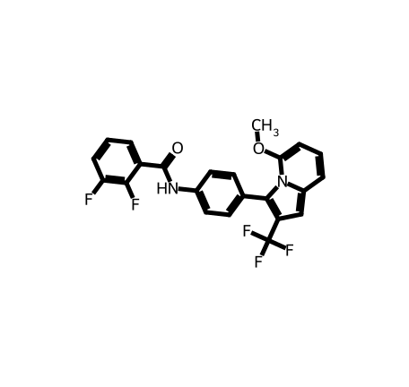 COc1cccc2cc(C(F)(F)F)c(-c3ccc(NC(=O)c4cccc(F)c4F)cc3)n12